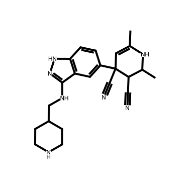 CC1=CC(C#N)(c2ccc3[nH]nc(NCC4CCNCC4)c3c2)C(C#N)C(C)N1